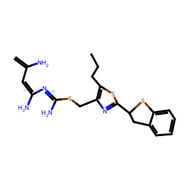 C=C(N)/C=C(N)\N=C(/N)SCc1nc(C2Cc3ccccc3S2)sc1CCC